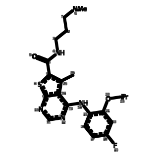 CNCCCNC(=O)c1sc2ncnc(Nc3ccc(F)cc3OC(C)C)c2c1C